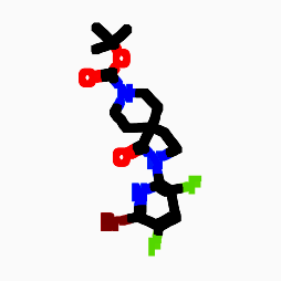 CC(C)(C)OC(=O)N1CCC2(CC1)CCN(c1nc(Br)c(F)cc1F)C2=O